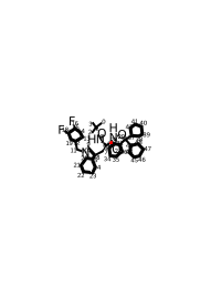 CC(C)(C)ON[C@H](Cc1cn(Cc2ccc(F)c(F)c2)c2ccccc12)C(=O)NOC(c1ccccc1)(c1ccccc1)c1ccccc1